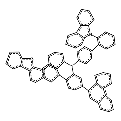 c1ccc(-c2ccc(-c3cc4ccccc4c4ccccc34)cc2N(c2ccc(-c3ccccc3-n3c4ccccc4c4ccccc43)cc2)c2cccc(-c3cccc4c3sc3ccccc34)c2)cc1